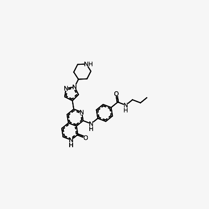 CCCNC(=O)c1ccc(Nc2nc(-c3cnn(C4CCNCC4)c3)cc3cc[nH]c(=O)c23)cc1